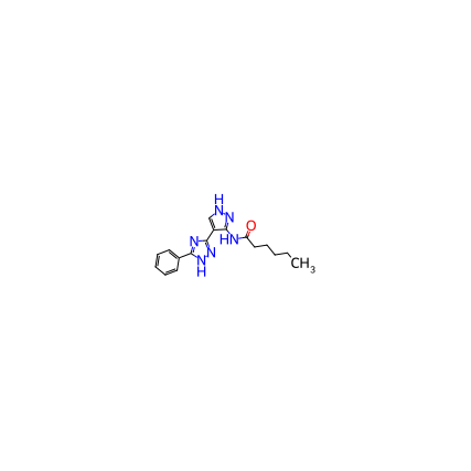 CCCCCC(=O)Nc1n[nH]cc1-c1n[nH]c(-c2ccccc2)n1